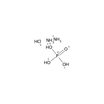 Cl.N.N.O=P(O)(O)O